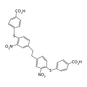 O=C(O)c1ccc(Sc2ccc(CCc3ccc(Sc4ccc(C(=O)O)cc4)c([N+](=O)[O-])c3)cc2[N+](=O)[O-])cc1